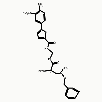 CCCCC[C@H](CN(C=O)OCc1ccccc1)C(=O)NCNC(=O)c1ccc(-c2ccc(N)c(C(=O)O)c2)o1